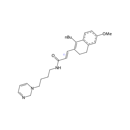 CCCCC1=C(/C=C/C(=O)NCCCCN2C=CC=NC2)CCc2cc(OC)ccc21